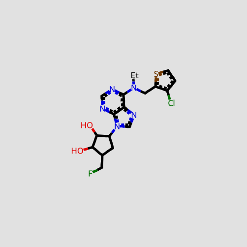 CCN(Cc1sccc1Cl)c1ncnc2c1ncn2C1CC(CF)C(O)C1O